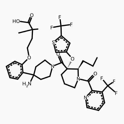 CCC[C@H]1N(C(=O)c2ncccc2C(F)(F)F)CCC[C@@]1(Oc1csc(C(F)(F)F)c1)C(=O)N1CCC(N)(c2ccccc2OCCC(C)(C)C(=O)O)CC1